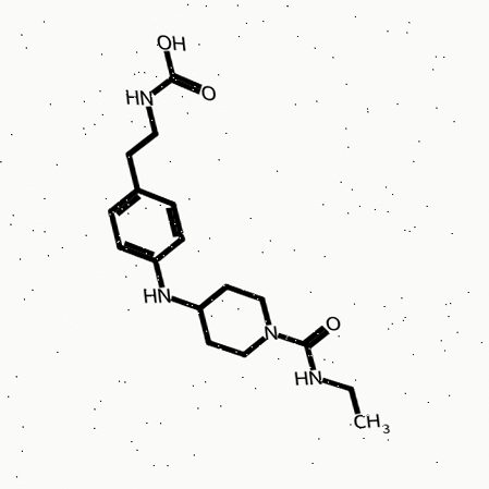 CCNC(=O)N1CCC(Nc2ccc(CCNC(=O)O)cc2)CC1